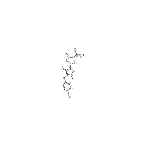 Cc1nc(N2CC(C)N(Cc3ccc(F)cc3)C2=O)sc1C(N)=O